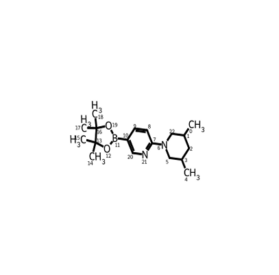 CC1CC(C)CN(c2ccc(B3OC(C)(C)C(C)(C)O3)cn2)C1